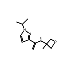 C=C(NC1(C)COC1)c1ccn(C(C)C)n1